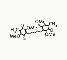 COC1=C(C)C(=O)C(OC)=C(CCCCCC2=C(OC)C(=O)C(C)=C(OC)C2=S)C1=S